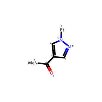 CCn1cc(C(=O)NC)cn1